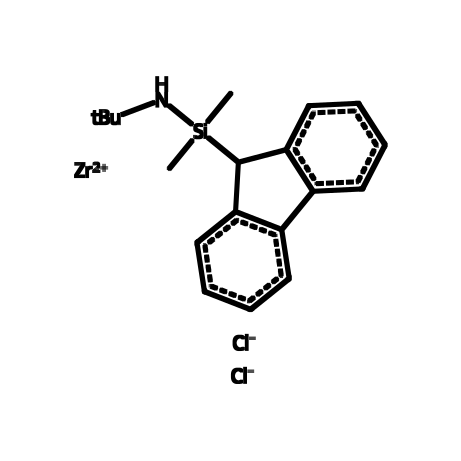 CC(C)(C)N[Si](C)(C)C1c2ccccc2-c2ccccc21.[Cl-].[Cl-].[Zr+2]